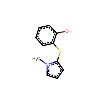 Cn1cccc1Sc1ccccc1O